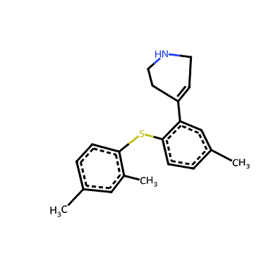 Cc1ccc(Sc2ccc(C)cc2C2=CCNCC2)c(C)c1